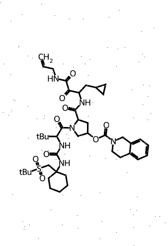 C=CCNC(=O)C(=O)C(CC1CC1)NC(=O)C1CC(OC(=O)N2CCc3ccccc3C2)CN1C(=O)C(NC(=O)NC1(CS(=O)(=O)C(C)(C)C)CCCCC1)C(C)(C)C